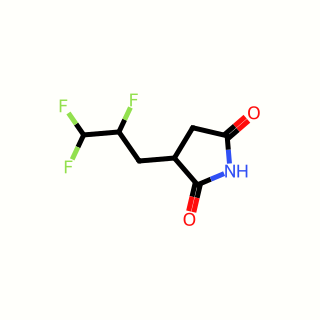 O=C1CC(CC(F)C(F)F)C(=O)N1